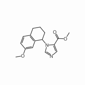 COC(=O)c1cncn1C1CCCc2ccc(OC)cc21